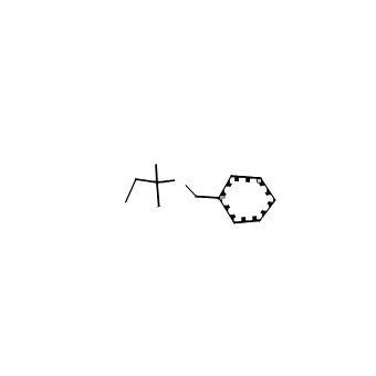 CCCC(C)(CC(=O)OCC)SCc1ccccc1